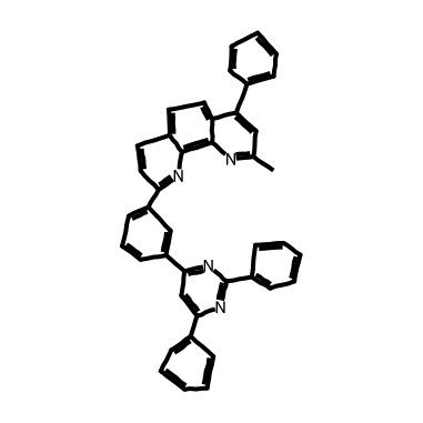 Cc1cc(-c2ccccc2)c2ccc3ccc(-c4cccc(-c5cc(-c6ccccc6)nc(-c6ccccc6)n5)c4)nc3c2n1